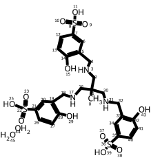 CC(CNCc1cc(S(=O)(=O)O)ccc1O)(CNCc1cc(S(=O)(=O)O)ccc1O)CNCc1cc(S(=O)(=O)O)ccc1O.O.O